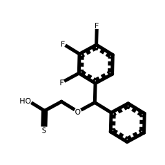 OC(=S)COC(c1ccccc1)c1ccc(F)c(F)c1F